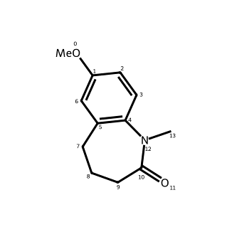 COc1ccc2c(c1)CCCC(=O)N2C